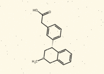 CN1Cc2ccccc2[C@@H](c2cccc(CC(=O)O)c2)C1